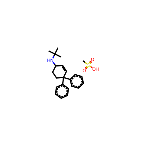 CC(C)(C)NC1C=CC(c2ccccc2)(c2ccccc2)CC1.CS(=O)(=O)O